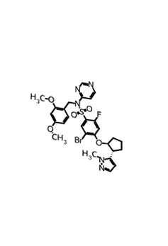 COc1ccc(CN(c2ccncn2)S(=O)(=O)c2cc(Br)c(O[C@H]3CCC[C@@H]3c3ccnn3C)cc2F)c(OC)c1